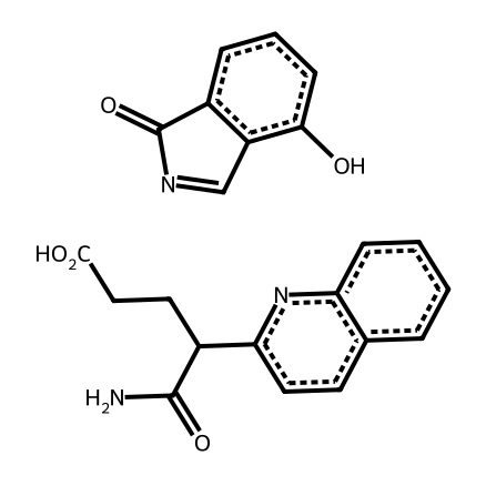 NC(=O)C(CCC(=O)O)c1ccc2ccccc2n1.O=C1N=Cc2c(O)cccc21